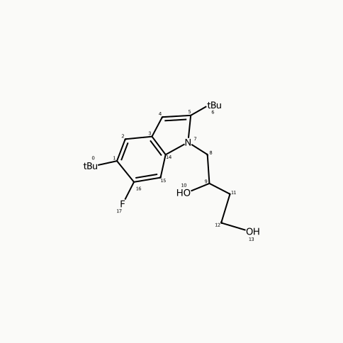 CC(C)(C)c1cc2cc(C(C)(C)C)n(CC(O)CCO)c2cc1F